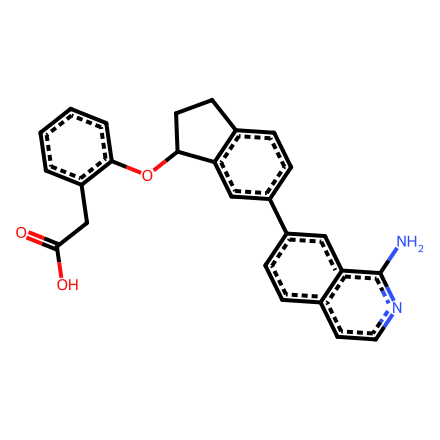 Nc1nccc2ccc(-c3ccc4c(c3)C(Oc3ccccc3CC(=O)O)CC4)cc12